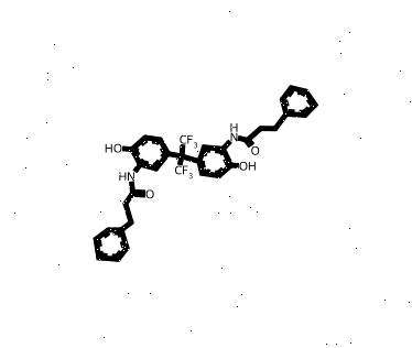 O=C(CCc1ccccc1)Nc1cc(C(c2ccc(O)c(NC(=O)CCc3ccccc3)c2)(C(F)(F)F)C(F)(F)F)ccc1O